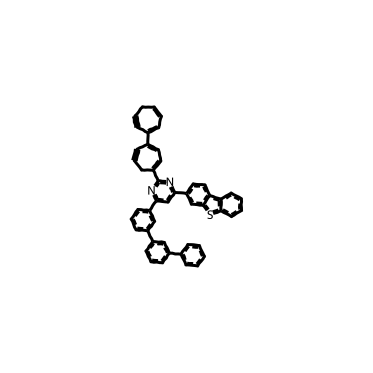 C1#CC(C2=CC=C(c3nc(-c4cccc(-c5cccc(-c6ccccc6)c5)c4)cc(-c4ccc5c(c4)sc4ccccc45)n3)CC#C2)=CC=CC1